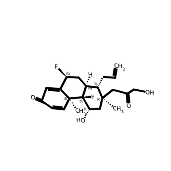 C=CC[C@H]1[C@@H]2C[C@H](F)C3=CC(=O)C=C[C@]3(C)[C@@]2(F)[C@@H](O)C[C@]1(C)CC(=O)CO